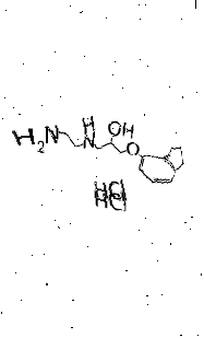 Cl.Cl.NCCNCC(O)COc1cccc2c1CCC2